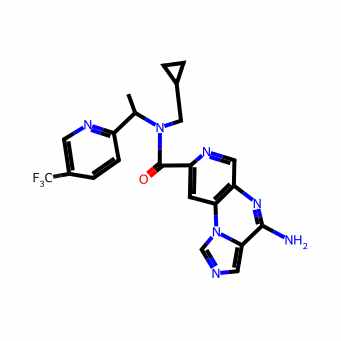 CC(c1ccc(C(F)(F)F)cn1)N(CC1CC1)C(=O)c1cc2c(cn1)nc(N)c1cncn12